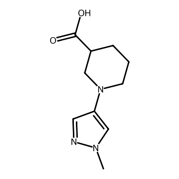 Cn1cc(N2CCCC(C(=O)O)C2)cn1